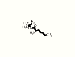 CCCCCC(N)C(=O)NC(C)(C)C